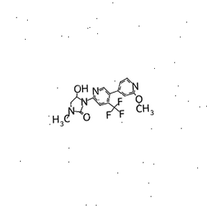 COc1cc(-c2cnc(N3C(=O)N(C)CC3O)cc2C(F)(F)F)ccn1